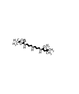 CC(C)(C)CC(=O)NCCCNCCCNC(=O)OC(C)(C)C